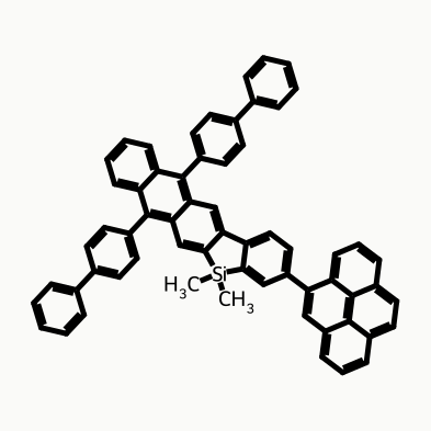 C[Si]1(C)c2cc(-c3cc4cccc5ccc6cccc3c6c54)ccc2-c2cc3c(-c4ccc(-c5ccccc5)cc4)c4ccccc4c(-c4ccc(-c5ccccc5)cc4)c3cc21